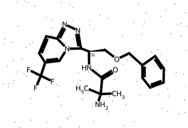 CC(C)(N)C(=O)N[C@H](COCc1ccccc1)c1nnc2ccc(C(F)(F)F)cn12